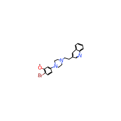 COc1cc(N2CCN(CCc3cnc4ccccc4c3)CC2)ccc1Br